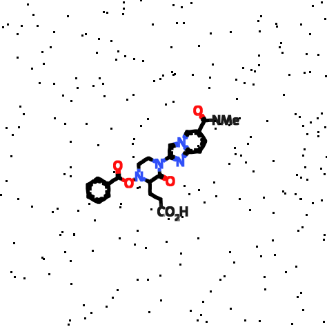 CNC(=O)c1ccc2nc(N3CCN(OC(=O)c4ccccc4)C(CCC(=O)O)C3=O)cn2c1